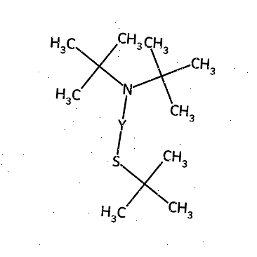 CC(C)(C)[S][Y][N](C(C)(C)C)C(C)(C)C